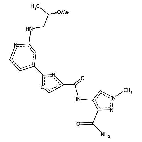 CO[C@@H](C)CNc1cc(-c2nc(C(=O)Nc3cn(C)nc3C(N)=O)co2)ccn1